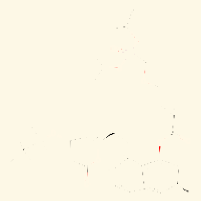 CC(C)OP(=O)(COCC[C@H](C)C(=O)O[C@H]1C[C@@H](C)C=C2C=C[C@H](C)[C@H](CC[C@@H]3C[C@@H](O[Si](C)(C)C(C)(C)C)CC(=O)O3)[C@H]21)OC(C)C